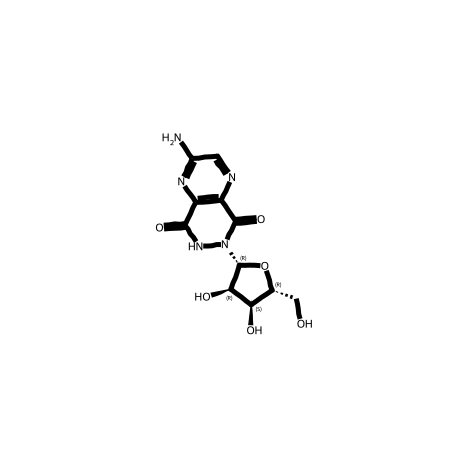 Nc1cnc2c(=O)n([C@@H]3O[C@H](CO)[C@@H](O)[C@H]3O)[nH]c(=O)c2n1